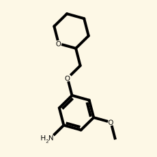 COc1cc(N)cc(OCC2CCCCO2)c1